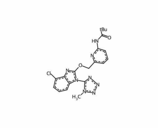 Cn1nnnc1-n1c(OCc2cccc(NC(=O)C(C)(C)C)n2)nc2c(Cl)cccc21